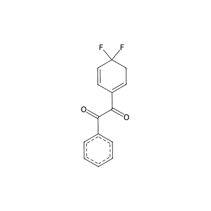 O=C(C(=O)c1ccccc1)C1=CCC(F)(F)C=C1